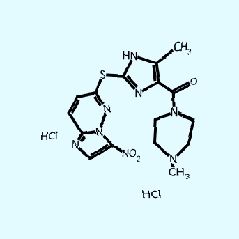 Cc1[nH]c(Sc2ccc3ncc([N+](=O)[O-])n3n2)nc1C(=O)N1CCN(C)CC1.Cl.Cl